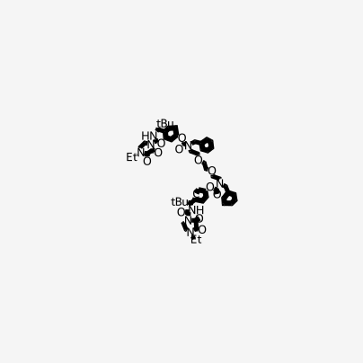 CCN1CCN(C(=O)NC(c2ccc(OC(=O)N(CCOCCOCCN(Cc3ccccc3)C(=O)Oc3ccc(C(NC(=O)N4CCN(CC)C(=O)C4=O)C(C)(C)C)cc3)Cc3ccccc3)cc2)C(C)(C)C)C(=O)C1=O